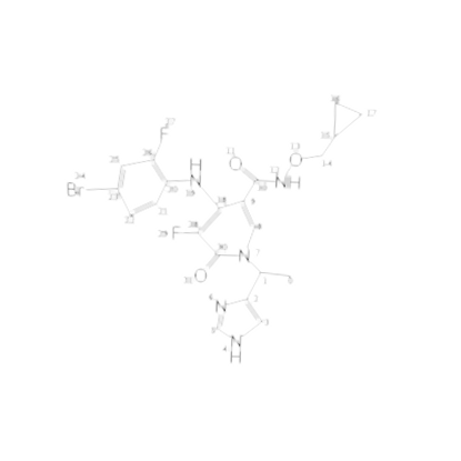 CC(c1c[nH]cn1)n1cc(C(=O)NOCC2CC2)c(Nc2ccc(Br)cc2F)c(F)c1=O